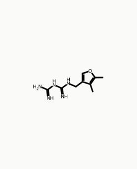 Cc1occ(CNC(=N)NC(=N)N)c1C